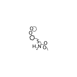 CCOC(=O)[C@H](N)CSCc1cccc(OC2CCCCO2)c1